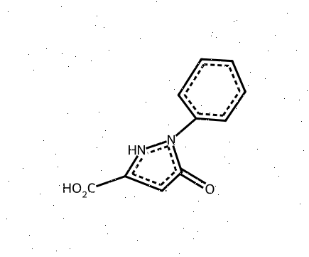 O=C(O)c1[c]c(=O)n(-c2ccccc2)[nH]1